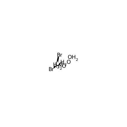 O.O.O.O.[Br][Co][Br]